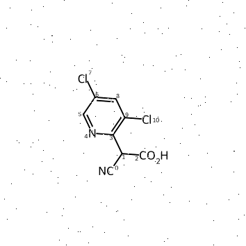 N#CC(C(=O)O)c1ncc(Cl)cc1Cl